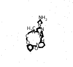 CN1CCCCOc2ccccc2C(=O)N2CCCC[C@H]2c2cc3nc(N4CC(N)C4)cc1n3n2